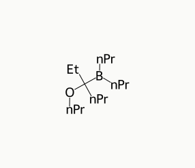 CCCOC(CC)(CCC)B(CCC)CCC